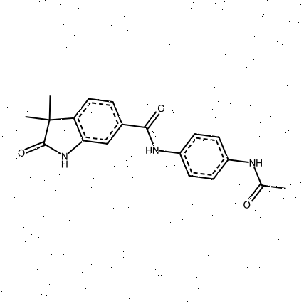 CC(=O)Nc1ccc(NC(=O)c2ccc3c(c2)NC(=O)C3(C)C)cc1